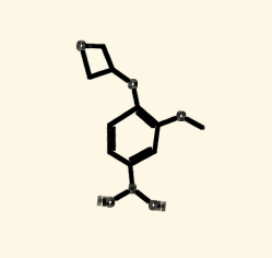 COc1cc(B(O)O)ccc1OC1COC1